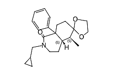 C[C@H]1[C@@H]2CCN(CC3CC3)C(=O)C2(c2ccccc2)CCC12OCCO2